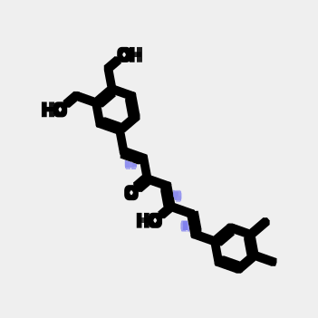 Cc1ccc(/C=C/C(O)=C/C(=O)/C=C/c2ccc(CO)c(CO)c2)cc1C